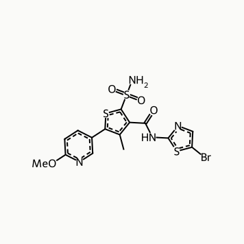 COc1ccc(-c2sc(S(N)(=O)=O)c(C(=O)Nc3ncc(Br)s3)c2C)cn1